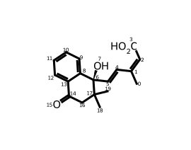 CC(=C/C(=O)O)/C=C/[C@@]1(O)c2ccccc2C(=O)CC1(C)C